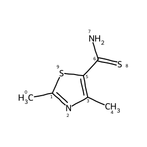 Cc1nc(C)c(C(N)=S)s1